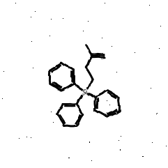 C=C(C)CC[Si](c1ccccc1)(c1ccccc1)c1ccccc1